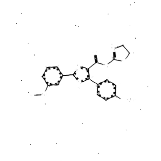 CCCCNc1cccc(-c2nc(C(=O)NC3=NCCS3)c(-c3ccc(OC)cc3)[nH]2)c1